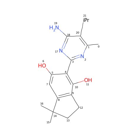 Cc1nc(-c2c(O)cc3c(c2O)CCC3(C)C)nc(N)c1C(C)C